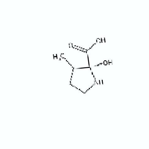 CC1CCN[C@]1(O)C(=O)O